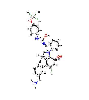 CN(C)Cc1cccc(-c2c(F)cc(O)c3c2C(C)(C)CN3c2ccccc2NC(=O)Nc2ccc(OC(F)(F)F)cc2)c1